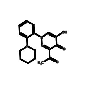 CC(=O)c1nn(-c2ccccc2N2CCCCC2)cc(O)c1=O